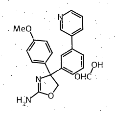 COc1ccc(C2(c3cccc(-c4cccnc4)c3)COC(N)=N2)cc1.O=CO